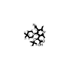 Cc1nc(C)c(C(OC(C)(C)C)C(=O)O)c(N2CCC(C)(C)CC2)c1C#N